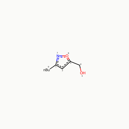 CCCCc1cc(CO)on1